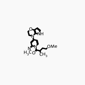 C/N=c1/cc(N2CCOc3cc[nH]c32)ccn1C(=O)C(C)CCOC